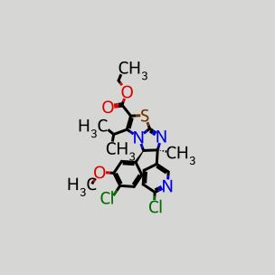 CCOC(=O)C1=C(C(C)C)N2C(=N[C@@](C)(c3ccc(Cl)nc3)[C@H]2c2ccc(Cl)c(OC)c2)S1